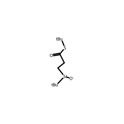 CC(C)(C)SC(=O)CC[S+]([O-])C(C)(C)C